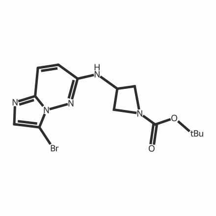 CC(C)(C)OC(=O)N1CC(Nc2ccc3ncc(Br)n3n2)C1